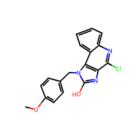 COc1ccc(Cn2c(O)nc3c(Cl)nc4ccccc4c32)cc1